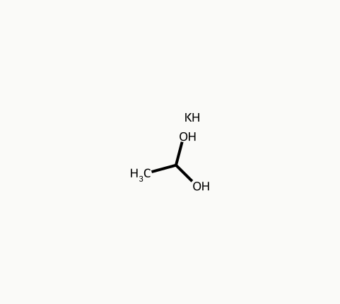 CC(O)O.[KH]